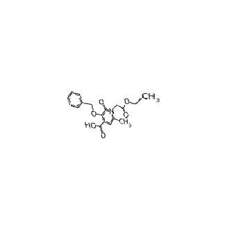 CCOC(=O)Cn1c(C)cc(C(=O)O)c(OCc2ccccc2)c1=O